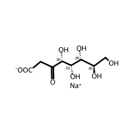 O=C([O-])CC(=O)[C@H](O)[C@@H](O)[C@H](O)[C@H](O)CO.[Na+]